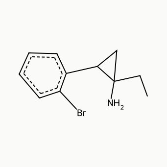 CCC1(N)CC1c1ccccc1Br